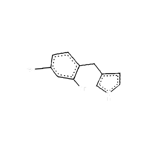 CC(C)(C)c1ccc(Cc2cc[nH]c2)c(C(F)(F)F)c1